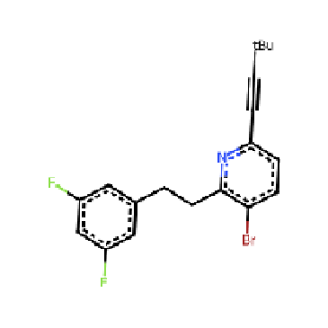 CC(C)(C)C#Cc1ccc(Br)c(CCc2cc(F)cc(F)c2)n1